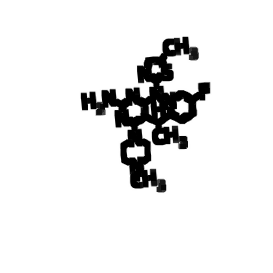 Cc1cnc(Nc2nc(N)nc(N3CCN(C)CC3)c2[C@H](C)c2ccc(F)cn2)s1